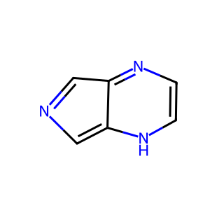 c1c[nH]c2cncc-2n1